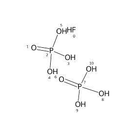 F.O=P(O)(O)O.O=P(O)(O)O